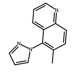 Cc1ccc2ncccc2c1-n1cccn1